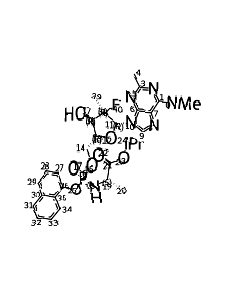 CNc1nc(C)nc2c1ncn2[C@@H]1O[C@H](COP(=O)(N[C@@H](C)C(=O)OC(C)C)Oc2cccc3ccccc23)[C@@H](O)[C@@]1(C)F